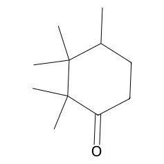 CC1CCC(=O)C(C)(C)C1(C)C